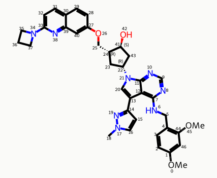 COc1ccc(CNc2ncnc3c2c(-c2ccn(C)n2)cn3[C@@H]2C[C@H](COc3ccc4ccc(N5CCC5)nc4c3)[C@@H](O)C2)c(OC)c1